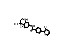 CC1(C)CCNc2cc(NC(=O)c3ccc(-c4ncccc4Cl)cc3)ccc21